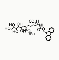 CC(C)(C)OC(=O)N(CCCCC(NC(=O)OCC1c2ccccc2-c2ccccc21)C(=O)O)CC(O)C(O)C(O)C(O)CO